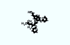 CC(C)=CCC(C)[C@@H](C=C[C@@H]1[C@H]2CC(=CCO)C[C@H]2C[C@H]1OC1CCCCO1)OC1CCCCO1